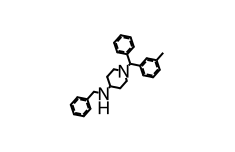 Cc1cccc(C(c2ccccc2)N2CCC(NCc3ccccc3)CC2)c1